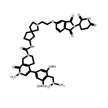 COc1cc(-c2cn(C)c(=O)c3c2CCN(C(=O)NC2CCC4(CCN(CCOc5ccc6c(c5)C(=O)N(C5CCC(=O)NC5=O)C6=O)C4)C2)C3)cc(OC)c1CN(C)C